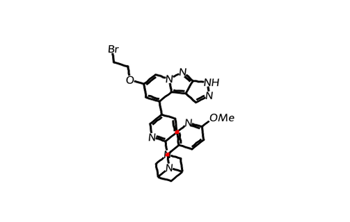 COc1ccc(CN2C3CC2CN(c2ccc(-c4cc(OCCBr)cn5nc6[nH]ncc6c45)cn2)C3)cn1